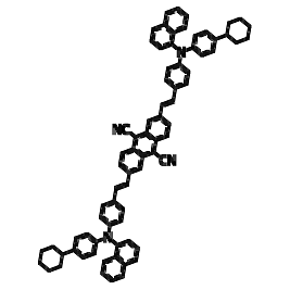 N#Cc1c2ccc(C=Cc3ccc(N(c4ccc(C5CCCCC5)cc4)c4cccc5ccccc45)cc3)cc2c(C#N)c2ccc(C=Cc3ccc(N(c4ccc(C5CCCCC5)cc4)c4cccc5ccccc45)cc3)cc12